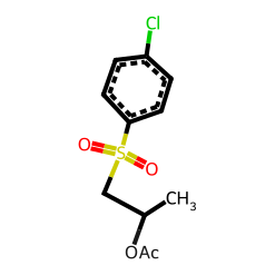 CC(=O)OC(C)CS(=O)(=O)c1ccc(Cl)cc1